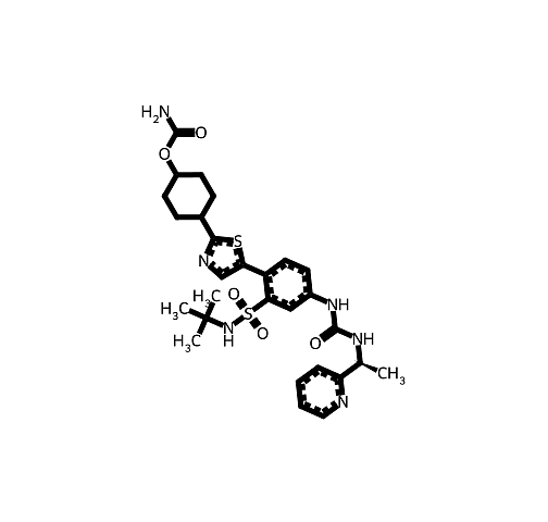 C[C@H](NC(=O)Nc1ccc(-c2cnc(C3CCC(OC(N)=O)CC3)s2)c(S(=O)(=O)NC(C)(C)C)c1)c1ccccn1